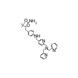 CC(C)(C)C(Cc1ccc(NCc2ccc(CN(Cc3ccccn3)Cc3ccccn3)nc2)cc1)OC(N)=O